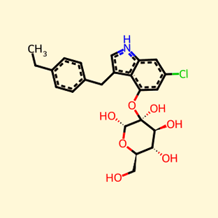 CCc1ccc(Cc2c[nH]c3cc(Cl)cc(O[C@]4(O)[C@@H](O)O[C@H](CO)[C@@H](O)[C@@H]4O)c23)cc1